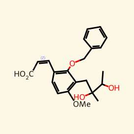 COc1ccc(/C=C\C(=O)O)c(OCc2ccccc2)c1CC(C)(O)C(C)O